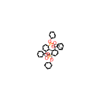 Cc1cccc(P(=O)(Oc2ccccc2)Oc2ccccc2)c1-c1c(C)cccc1P(=O)(Oc1ccccc1)Oc1ccccc1